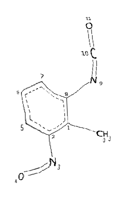 Cc1c(N=O)cccc1N=C=O